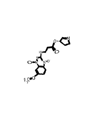 O=C(CCNc1n[n+]([O-])c2cc(OC(F)(F)F)ccc2[n+]1[O-])O[C@@H]1C=NCC1